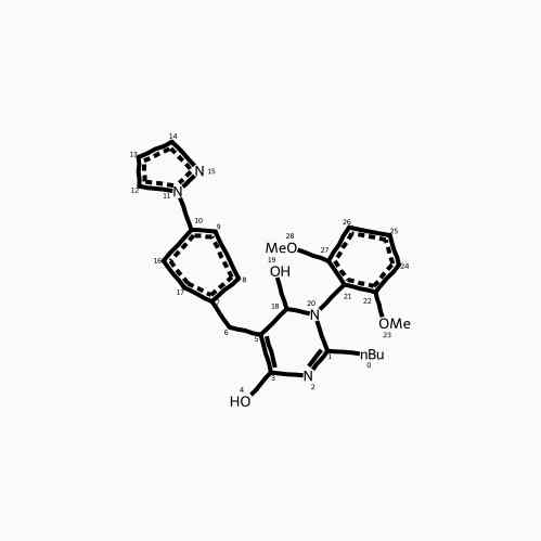 CCCCC1=NC(O)=C(Cc2ccc(-n3cccn3)cc2)C(O)N1c1c(OC)cccc1OC